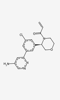 C=CC(=O)N1CCOC[C@H]1c1cc(Cl)cc(-c2cc(N)cnn2)c1